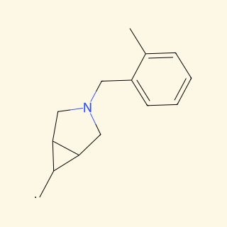 [CH2]C1C2CN(Cc3ccccc3C)CC12